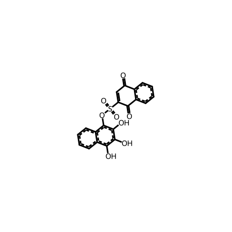 O=C1C=C(S(=O)(=O)Oc2c(O)c(O)c(O)c3ccccc23)C(=O)c2ccccc21